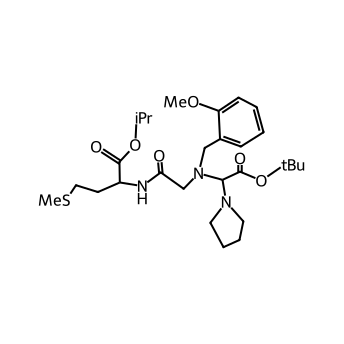 COc1ccccc1CN(CC(=O)NC(CCSC)C(=O)OC(C)C)C(C(=O)OC(C)(C)C)N1CCCC1